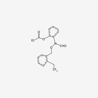 CCC(=O)Oc1ccccc1N(C=O)OCc1ccccc1CC(F)(F)F